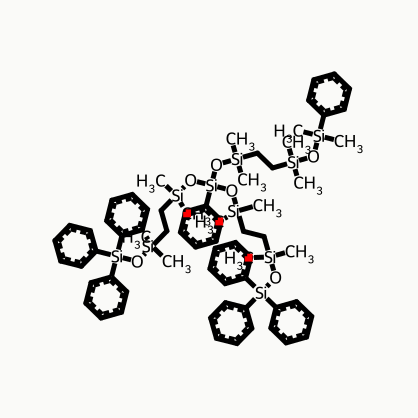 C[Si](C)(CC[Si](C)(C)O[Si](O[Si](C)(C)CC[Si](C)(C)O[Si](c1ccccc1)(c1ccccc1)c1ccccc1)(O[Si](C)(C)CC[Si](C)(C)O[Si](c1ccccc1)(c1ccccc1)c1ccccc1)c1ccccc1)O[Si](C)(C)c1ccccc1